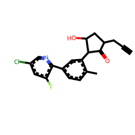 C#CCC1CC(O)C(c2cc(-c3ncc(Cl)cc3F)ccc2C)C1=O